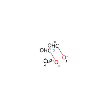 O=C[O-].O=C[O-].[Cu+2]